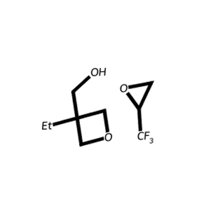 CCC1(CO)COC1.FC(F)(F)C1CO1